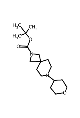 CC(C)(C)OC(=O)N1CC2(CCN(C3CCOCC3)CC2)C1